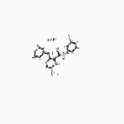 Cc1cnc(Nc2cncnc2)c(C(=O)Nc2cccc(Cl)c2)n1.Cl